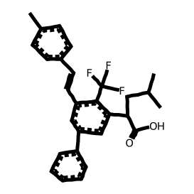 Cc1ccc(/C=C/c2cc(-c3ccccc3)cc(C(CC(C)C)C(=O)O)c2C(F)(F)F)cc1